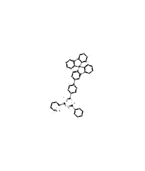 c1ccc(-c2nc(-c3ccc(-c4ccc5c(c4)-c4ccccc4C54c5ccccc5-c5ccccc54)cc3)nc(-c3ccccn3)n2)cc1